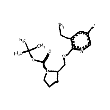 CC(C)(C)OC(=O)N1CCCC1COc1ncc(F)cc1CN